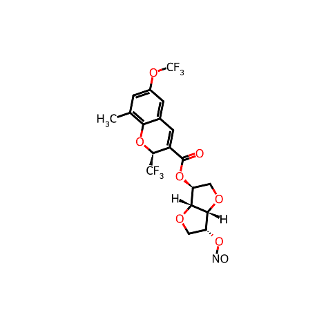 Cc1cc(OC(F)(F)F)cc2c1O[C@H](C(F)(F)F)C(C(=O)O[C@H]1CO[C@H]3[C@@H]1OC[C@H]3ON=O)=C2